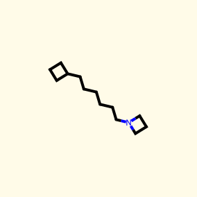 C(CCCN1CCC1)CCC1CCC1